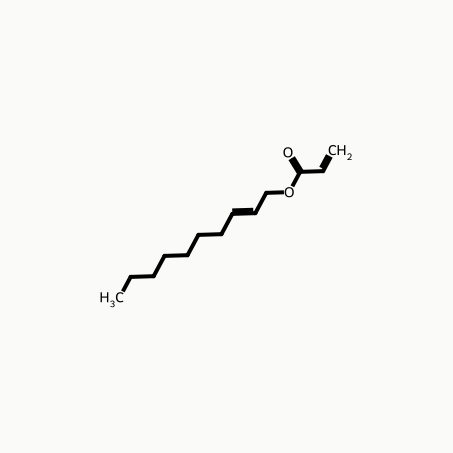 C=CC(=O)OCC=CCCCCCCC